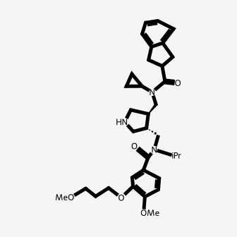 COCCCOc1cc(C(=O)N(C[C@@H]2CNC[C@H]2CN(C(=O)C2Cc3ccccc3C2)C2CC2)C(C)C)ccc1OC